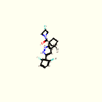 O=C(N1CC(F)C1)[C@@]12CC[C@@H](C1)c1cc(-c3c(F)cccc3F)nnc12